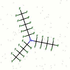 FC(F)(F)C(F)(F)C(F)(F)C(F)(F)N(C(F)(F)C(F)(F)C(F)(F)C(F)(F)F)C(F)(F)C(F)(F)C(F)(F)C(F)(F)C(F)(F)F